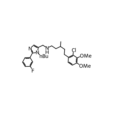 CCCCn1c(CNCCC(C)CCc2ccc(OC)c(OC)c2Cl)cnc1-c1cccc(F)c1